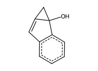 OC12CC1=Cc1ccccc12